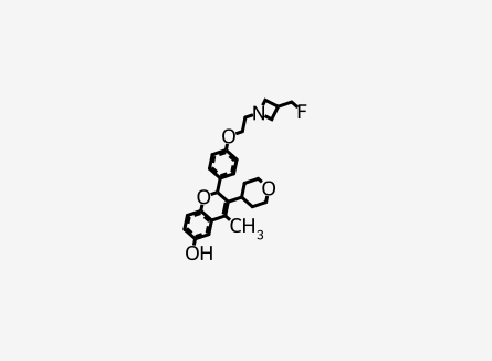 CC1=C(C2CCOCC2)C(c2ccc(OCCN3CC(CF)C3)cc2)Oc2ccc(O)cc21